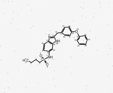 CCCCS(=O)(=O)Nc1ccc2nc(Cc3ccc(Oc4ccccc4)cc3)[nH]c2c1